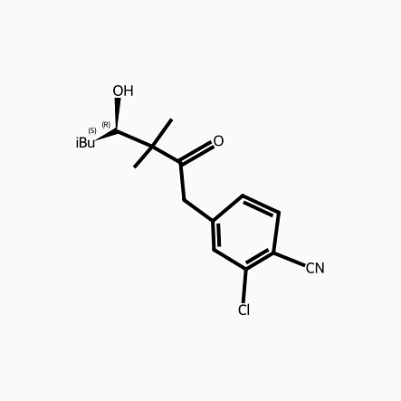 CC[C@H](C)[C@@H](O)C(C)(C)C(=O)Cc1ccc(C#N)c(Cl)c1